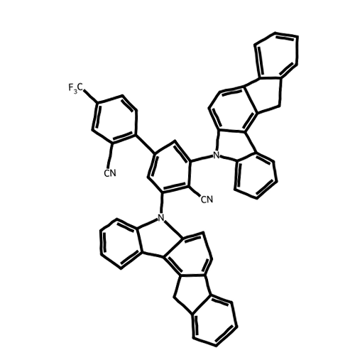 N#Cc1cc(C(F)(F)F)ccc1-c1cc(-n2c3ccccc3c3c4c(ccc32)-c2ccccc2C4)c(C#N)c(-n2c3ccccc3c3c4c(ccc32)-c2ccccc2C4)c1